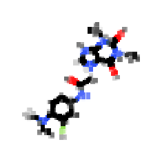 CN(C)c1ccc(NC(=O)Cn2cnc3c2c(=O)n(C)c(=O)n3C)cc1F